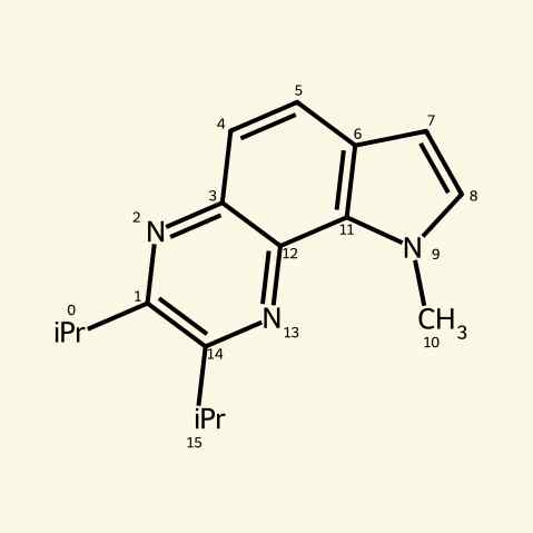 CC(C)c1nc2ccc3ccn(C)c3c2nc1C(C)C